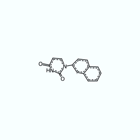 O=c1ccn(-c2[c]c3ccccc3cc2)c(=O)[nH]1